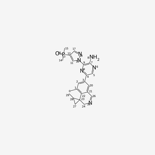 Cc1cc(-c2cnc(N)c(-n3cc(P(C)(C)=O)cn3)n2)cc2c1C1(CN=C2)CC1C